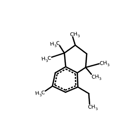 CCc1cc(C)cc2c1C(C)(C)CC(C)C2(C)C